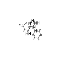 CC(C)CC(Nc1ccccn1)c1nn[nH]n1